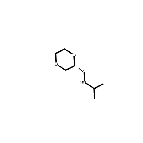 CC(C)NC[C@@H]1COCCO1